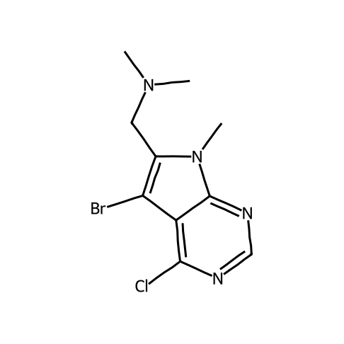 CN(C)Cc1c(Br)c2c(Cl)ncnc2n1C